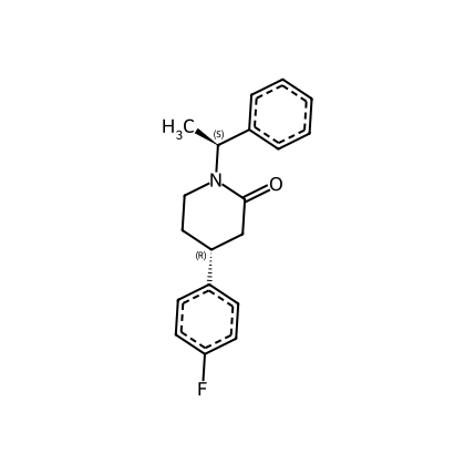 C[C@@H](c1ccccc1)N1CC[C@@H](c2ccc(F)cc2)CC1=O